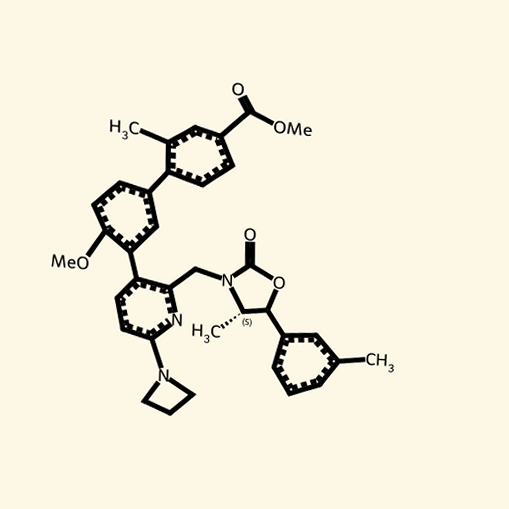 COC(=O)c1ccc(-c2ccc(OC)c(-c3ccc(N4CCC4)nc3CN3C(=O)OC(c4cccc(C)c4)[C@@H]3C)c2)c(C)c1